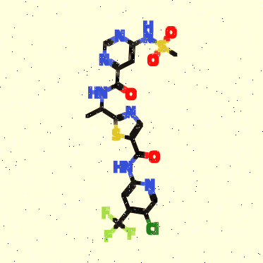 CC(NC(=O)c1cc(NS(C)(=O)=O)ncn1)c1ncc(C(=O)Nc2cc(C(F)(F)F)c(Cl)cn2)s1